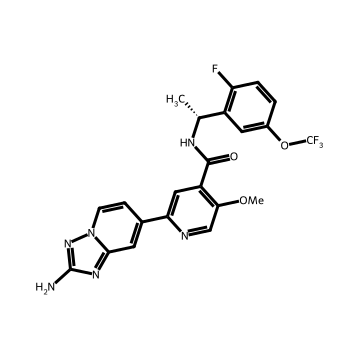 COc1cnc(-c2ccn3nc(N)nc3c2)cc1C(=O)N[C@H](C)c1cc(OC(F)(F)F)ccc1F